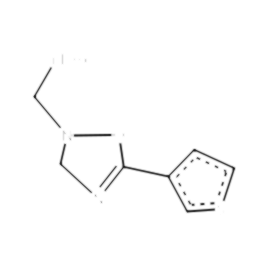 CCCCCCCN1CN=C(c2ccsc2)O1